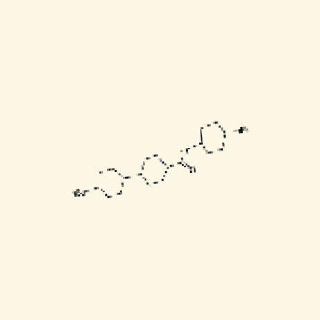 CCCCC1CCC(C2CCC(C(=O)OC3CCC(CCC)CC3)CC2)CC1